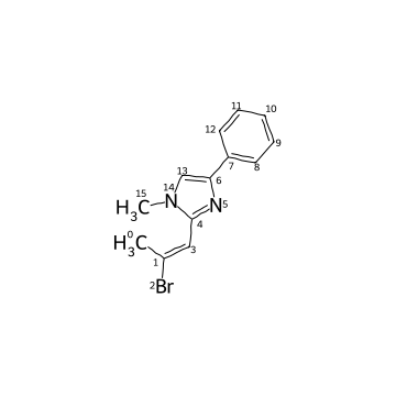 C/C(Br)=C\c1nc(-c2ccccc2)cn1C